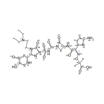 CCN(CC)CCn1c(-c2cc(=O)c(O)c[nH]2)nn(S(=O)(=O)NC(=O)N2C[C@H](NC(=O)/C(=N\OC(C)(C)C(=O)O)c3csc(N)n3)C2=O)c1=O